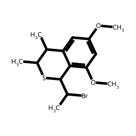 COc1cc(OC)c2c(c1)C(C)C(C)SC2C(C)Br